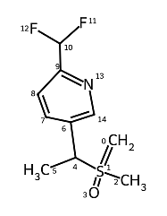 C=S(C)(=O)C(C)c1ccc(C(F)F)nc1